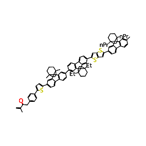 C=C(C)C(=O)Cc1ccc(-c2ccc(-c3ccc4c(c3)C3(c5cc(-c6ccc7c(c6)C6(c8cc(-c9cc%10sc(-c%11ccc%12c(c%11)C%11(c%13cc(C)ccc%13-%12)C%12(CCC)CCCC%11(CCC)CCC%12)cc%10s9)ccc8-7)C7(CC)CCCC6(CC)CCC7)ccc5-4)C4(C)CCCC3(C)CCC4)s2)cc1